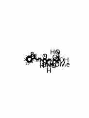 CO[C@@H]1[C@@H](O)[C@@H](CO)O[C@H]1n1cc(C(=O)NCCc2csc3ccccc23)c(=O)[nH]c1=O